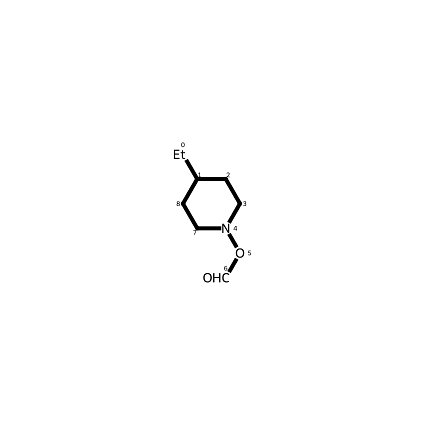 CCC1CCN(OC=O)CC1